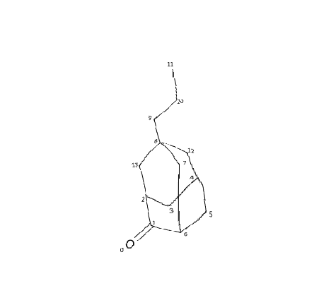 O=C1C2CC3CC1CC(CCI)(C3)C2